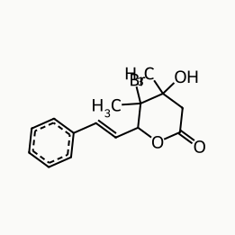 CC1(O)CC(=O)OC(C=Cc2ccccc2)C1(C)Br